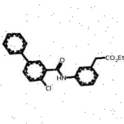 CCOC(=O)Cc1cccc(NC(=O)c2cc(-c3ccccc3)ccc2Cl)c1